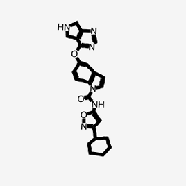 O=C(Nc1cc(C2CCCCC2)no1)n1ccc2cc(Oc3ncnc4c3CNC4)ccc21